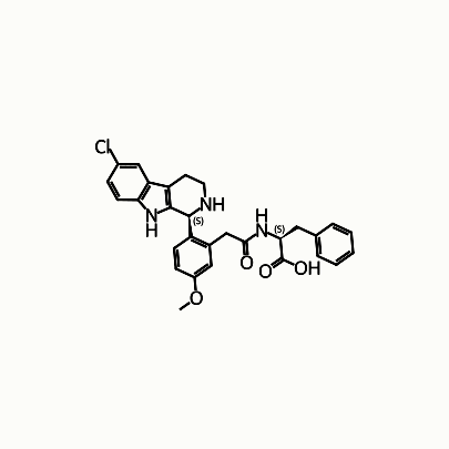 COc1ccc([C@@H]2NCCc3c2[nH]c2ccc(Cl)cc32)c(CC(=O)N[C@@H](Cc2ccccc2)C(=O)O)c1